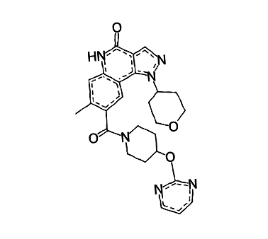 Cc1cc2[nH]c(=O)c3cnn(C4CCOCC4)c3c2cc1C(=O)N1CCC(Oc2ncccn2)CC1